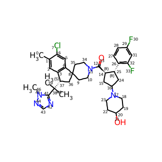 Cc1cc2c(cc1Cl)C1(CCN(C(=O)[C@@H]3CC(N4CCC(O)CC4)C[C@H]3c3ccc(F)cc3F)CC1)C[C@@H]2C(C)(C)c1ncnn1C